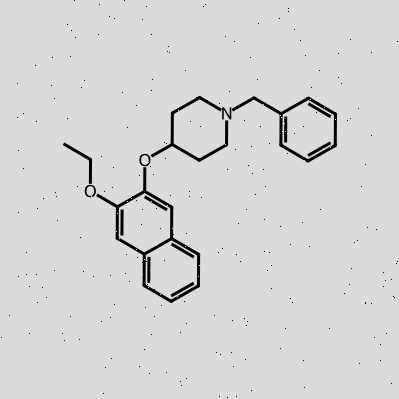 CCOc1cc2ccccc2cc1OC1CCN(Cc2ccccc2)CC1